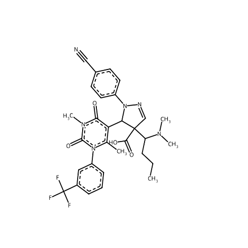 CCCC(N(C)C)C1(C(=O)O)C=NN(c2ccc(C#N)cc2)C1c1c(C)n(-c2cccc(C(F)(F)F)c2)c(=O)n(C)c1=O